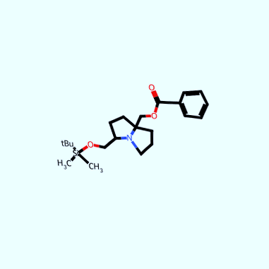 CC(C)(C)[Si](C)(C)OCC1CCC2(COC(=O)c3ccccc3)CCCN12